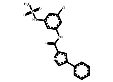 CS(=O)(=O)Nc1cc(Cl)cc(NC(=O)c2cc(-c3ccccc3)cs2)c1